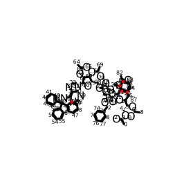 CC(=O)OC[C@@H](OC(C)=O)C1OC(OP(=O)(CP(=O)(OCc2ccccc2)OC[C@H]2O[C@@H](n3cnc4c(NC(c5ccccc5)(c5ccccc5)c5ccccc5)ncnc43)[C@@H](OC(C)=O)C2OC(C)=O)OCc2ccccc2)C(OC(C)=O)[C@@H](C)[C@@H]1C